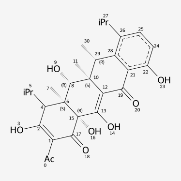 CC(=O)C1=C(O)C(C(C)C)[C@@]2(C)[C@H](O)[C@]3(C)C(=C(O)[C@@]2(O)C1=O)C(=O)c1c(O)ccc(C(C)C)c1[C@H]3C